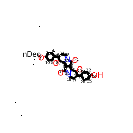 CCCCCCCCCCOc1ccc2c3c(oc2c1)C1=C2C(=O)N4C=Cc5c(oc6cc(O)ccc56)C4=C2C(=O)N1C=C3